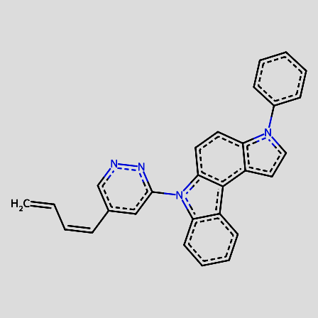 C=C/C=C\c1cnnc(-n2c3ccccc3c3c4ccn(-c5ccccc5)c4ccc32)c1